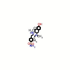 CCN(C)[C@H]1Cc2ccc(O)cc2C(C)(C)[C@H]1NCCc1ccc(S(N)(=O)=O)cc1